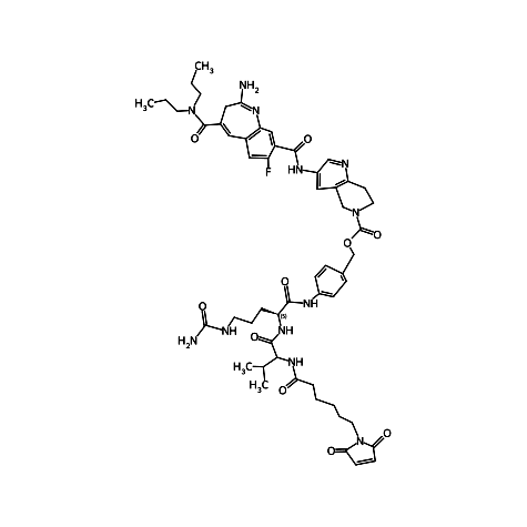 CCCN(CCC)C(=O)C1=Cc2cc(F)c(C(=O)Nc3cnc4c(c3)CN(C(=O)OCc3ccc(NC(=O)[C@H](CCCNC(N)=O)NC(=O)C(NC(=O)CCCCCN5C(=O)C=CC5=O)C(C)C)cc3)CC4)cc2N=C(N)C1